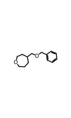 c1ccc(COCC2CCCOCC2)cc1